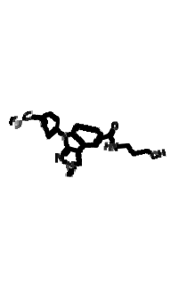 Cn1cc2c3cc(C(=O)NCCCO)ccc3n(-c3ccc(C(F)(F)F)cc3)c2n1